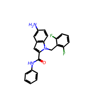 Nc1ccc2c(c1)cc(C(=O)Nc1ccccc1)n2Cc1c(F)cccc1F